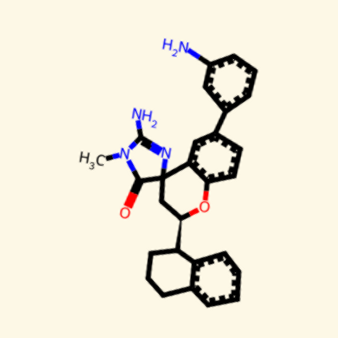 CN1C(=O)C2(C[C@H](C3CCCc4ccccc43)Oc3ccc(-c4cccc(N)c4)cc32)N=C1N